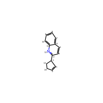 C1=CC(c2ccc3ccccc3n2)CC1